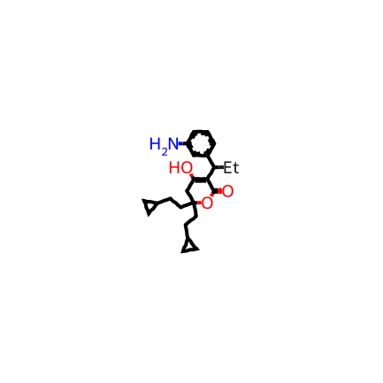 CCC(C1=C(O)CC(CCC2CC2)(CCC2CC2)OC1=O)c1cccc(N)c1